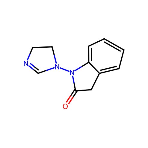 O=C1Cc2ccccc2N1N1C=NCC1